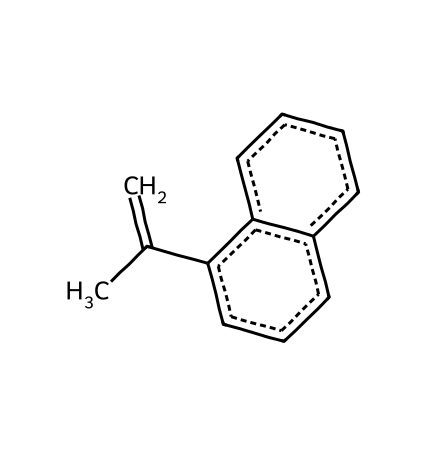 C=C(C)c1cccc2ccccc12